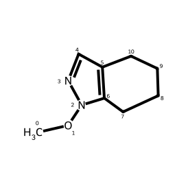 COn1ncc2c1CCCC2